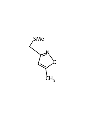 [CH2]SCc1cc(C)on1